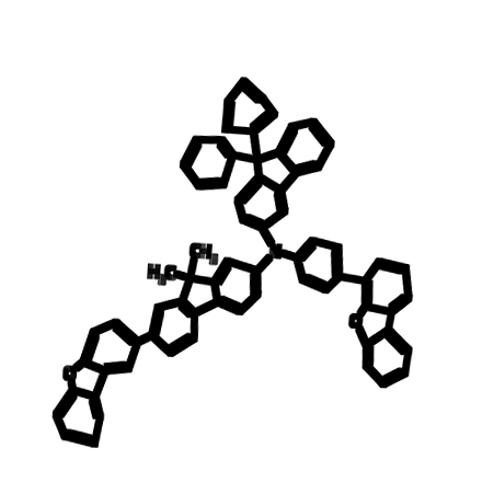 CC1(C)c2cc(-c3ccc4oc5ccccc5c4c3)ccc2-c2ccc(N(c3ccc(-c4cccc5c4oc4ccccc45)cc3)c3ccc4c(c3)-c3ccccc3C4(c3ccccc3)c3ccccc3)cc21